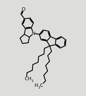 CCCCCCCCC1(CCCCCCCC)c2ccccc2-c2ccc(N3c4ccc(C=O)cc4C4CCCC43)cc21